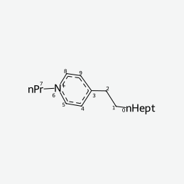 CCCCCCCCCc1cc[n+](CCC)cc1